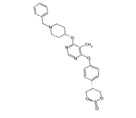 Cc1c(Oc2ccc([C@H]3CO[S@](=O)OC3)cc2)ncnc1OC1CCN(Cc2ccccc2)CC1